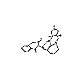 O=C1Cc2ccccc2C(=O)N1c1cc2c3c(c1)[C@@H]1CNC[C@@H]1CN3CCC2